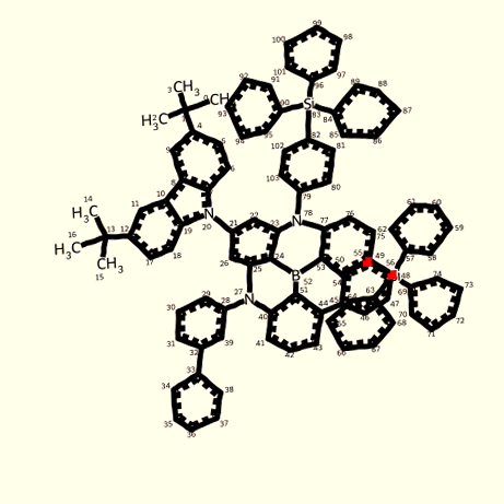 CC(C)(C)c1ccc2c(c1)c1cc(C(C)(C)C)ccc1n2-c1cc2c3c(c1)N(c1cccc(-c4ccccc4)c1)c1cccc(-c4ccccc4)c1B3c1cc([Si](c3ccccc3)(c3ccccc3)c3ccccc3)ccc1N2c1ccc([Si](c2ccccc2)(c2ccccc2)c2ccccc2)cc1